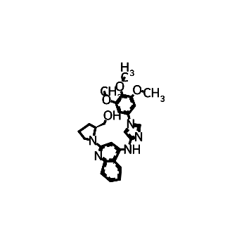 COc1cc(-n2cnc(Nc3cc(N4CCC[C@H]4CO)nc4ccccc34)c2)cc(OC)c1OC